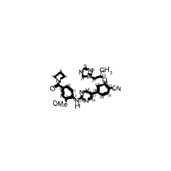 COc1cc(C(=O)N2CCC2)ccc1Nc1ncc(-c2ccc(C#N)c(O[C@@H](C)Cn3cncn3)c2)cn1